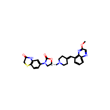 COc1cnc2cccc(C=C3CCN(C[C@@H]4CN(c5ccc6c(c5)NC(=O)CS6)C(=O)O4)CC3)c2n1